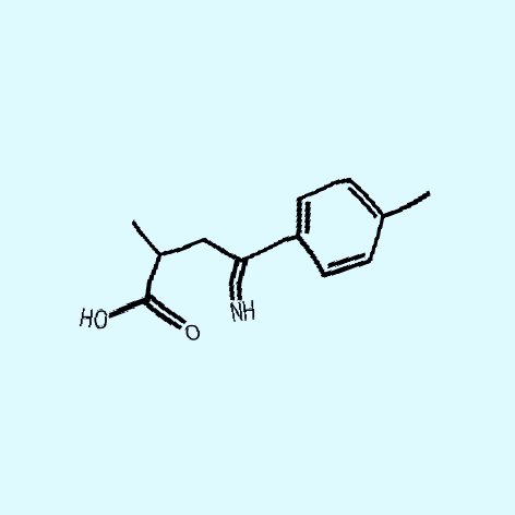 Cc1ccc(C(=N)CC(C)C(=O)O)cc1